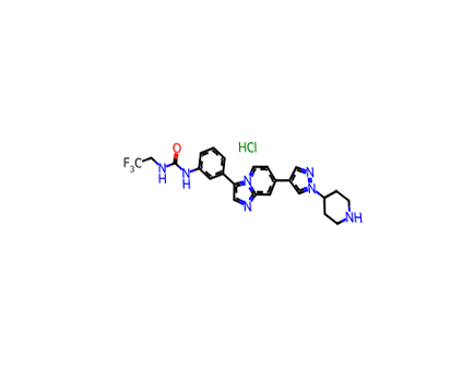 Cl.O=C(NCC(F)(F)F)Nc1cccc(-c2cnc3cc(-c4cnn(C5CCNCC5)c4)ccn23)c1